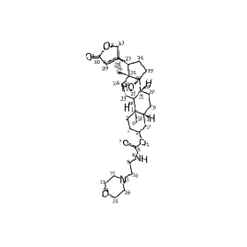 C[C@]12CC[C@H](OC(=O)NCCN3CCOCC3)C[C@H]1CC[C@@H]1[C@@H]2CC[C@]2(C)[C@@H](C3=CC(=O)OC3)CC[C@]12O